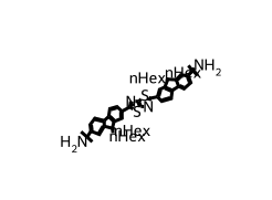 CCCCCCC1(CCCCCC)c2cc(-c3nc4sc(-c5ccc6c(c5)C(CCCCCC)(CCCCCC)c5cc(C(C)(C)N)ccc5-6)nc4s3)ccc2-c2ccc(C(C)(C)N)cc21